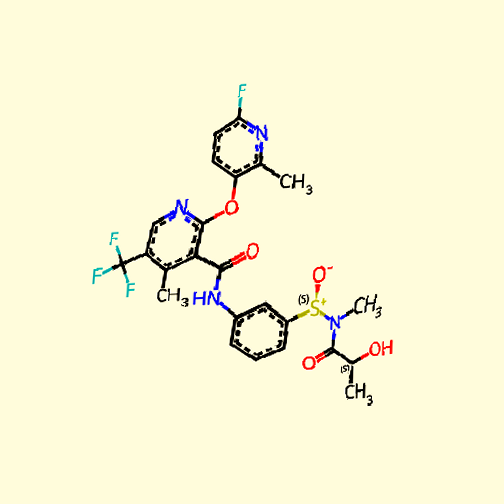 Cc1nc(F)ccc1Oc1ncc(C(F)(F)F)c(C)c1C(=O)Nc1cccc([S@@+]([O-])N(C)C(=O)[C@H](C)O)c1